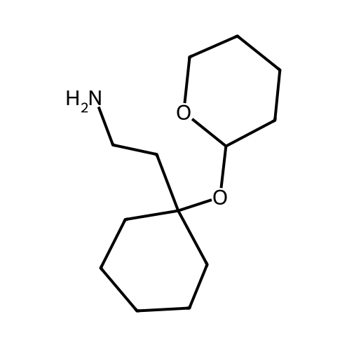 NCCC1(OC2CCCCO2)CCCCC1